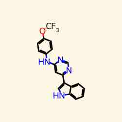 FC(F)(F)Oc1ccc(Nc2cc(-c3c[nH]c4ccccc34)ncn2)cc1